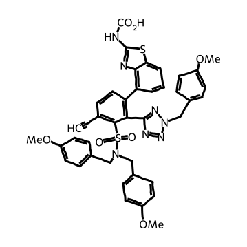 C#Cc1ccc(-c2cccc3sc(NC(=O)O)nc23)c(-c2nnn(Cc3ccc(OC)cc3)n2)c1S(=O)(=O)N(Cc1ccc(OC)cc1)Cc1ccc(OC)cc1